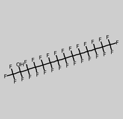 OC(F)(C(F)(F)F)C(F)(F)C(F)(F)C(F)(F)C(F)(F)C(F)(F)C(F)(F)C(F)(F)C(F)(F)C(F)(F)C(F)(F)C(F)(F)C(F)(F)F